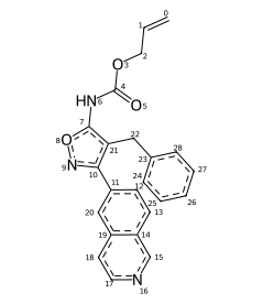 C=CCOC(=O)Nc1onc(-c2ccc3cnccc3c2)c1Cc1ccccc1